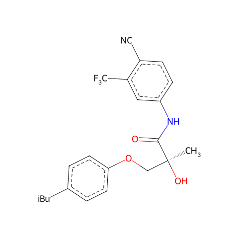 CCC(C)c1ccc(OC[C@](C)(O)C(=O)Nc2ccc(C#N)c(C(F)(F)F)c2)cc1